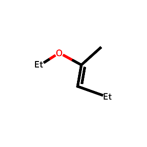 [CH2]COC(C)=CCC